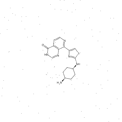 N[C@H]1CC[C@@H](Nc2nc(-c3nccc4c(=O)[nH]cnc34)cs2)CC1